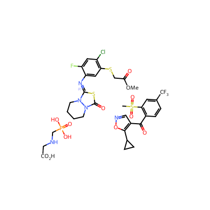 COC(=O)CSc1cc(/N=c2\sc(=O)n3n2CCCC3)c(F)cc1Cl.CS(=O)(=O)c1cc(C(F)(F)F)ccc1C(=O)c1cnoc1C1CC1.O=C(O)CNCP(=O)(O)O